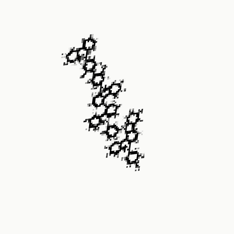 Cc1cc(N2c3ccccc3C3C=CC=CC32C)ccc1-c1ccc(-n2c3ccccc3c3c(-c4cccc5c4c4ccccc4n5-c4cccc(-n5c6ccccc6c6ccc7c(c8ccccc8n7C7=CCC(C)C=C7)c65)c4)cccc32)cc1C